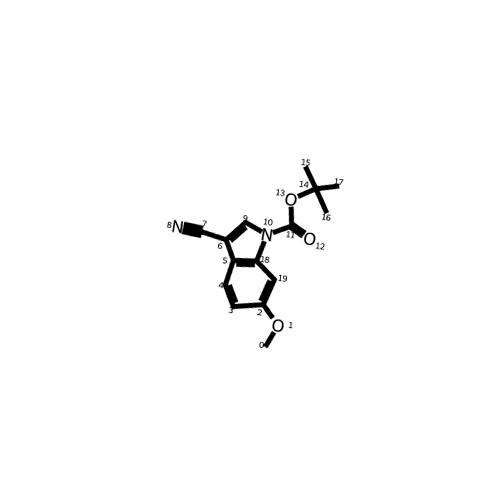 COc1ccc2c(C#N)cn(C(=O)OC(C)(C)C)c2c1